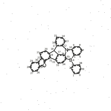 c1ccc(B2c3ccccc3N3c4ccccc4C4c5ccc6c(oc7ccccc76)c5-c5ccc2c3c54)cc1